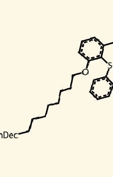 CCCCCCCCCCCCCCCCCCOc1cccc(C)c1Sc1ccccc1